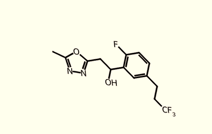 Cc1nnc(CC(O)c2cc(CCC(F)(F)F)ccc2F)o1